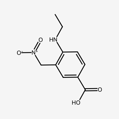 CCNc1ccc(C(=O)O)cc1C[N+](=O)[O-]